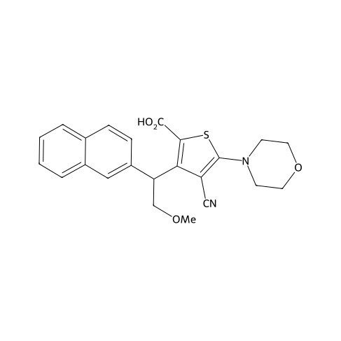 COCC(c1ccc2ccccc2c1)c1c(C(=O)O)sc(N2CCOCC2)c1C#N